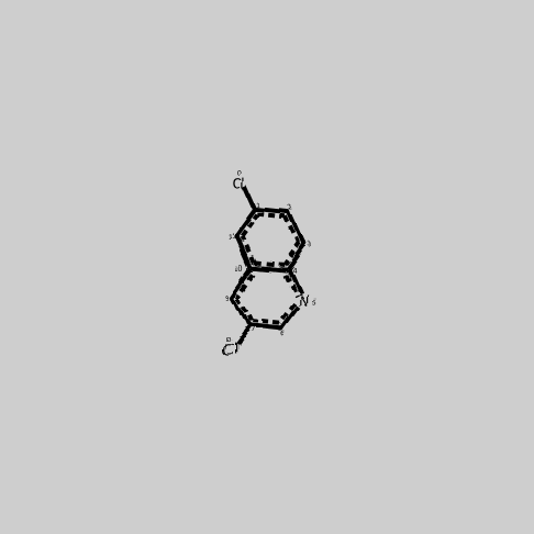 Clc1c[c]c2ncc(Cl)cc2c1